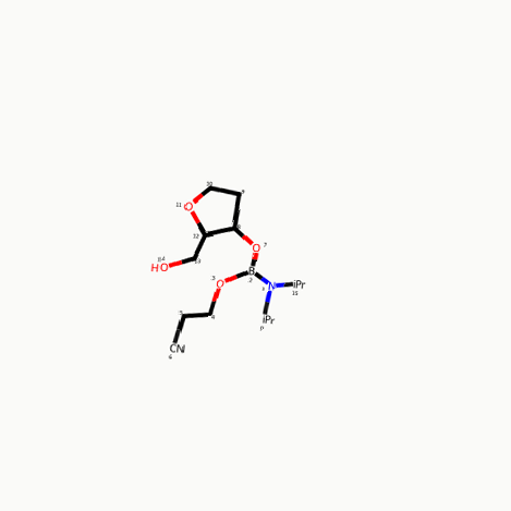 CC(C)N(B(OCCC#N)OC1CCOC1CO)C(C)C